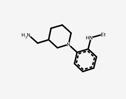 CCNc1ccccc1N1CCCC(CN)C1